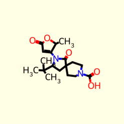 CC1OC(=O)C=C1N1C(=O)C2(CCN(C(=O)O)CC2)CC1C(C)(C)C